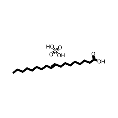 CCCCCCCCC=CCCCCCCCC(=O)O.O=S(=O)(O)O